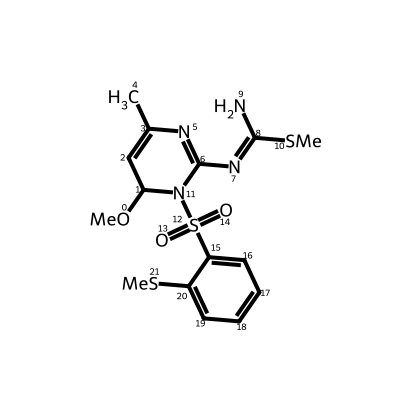 COC1C=C(C)N=C(N=C(N)SC)N1S(=O)(=O)c1ccccc1SC